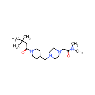 CN(C)C(=O)CN1CCN(CC2CCN(C(=O)CC(C)(C)C)CC2)CC1